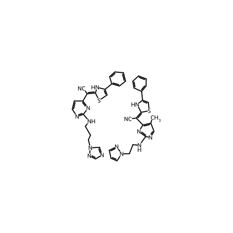 Cc1cnc(NCCn2cccn2)nc1C(C#N)=C1NC(c2ccccc2)=CS1.N#CC(=C1NC(c2ccccc2)=CS1)c1ccnc(NCCCn2cncn2)n1